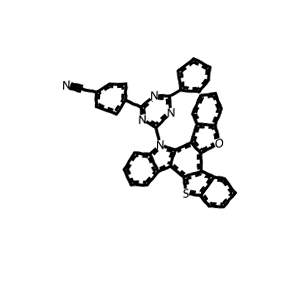 N#Cc1ccc(-c2nc(-c3ccccc3)nc(-n3c4ccccc4c4c5sc6ccccc6c5c5oc6ccccc6c5c43)n2)cc1